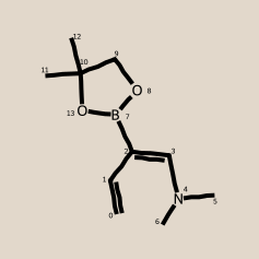 C=C/C(=C\N(C)C)B1OCC(C)(C)O1